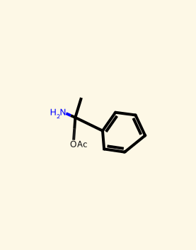 CC(=O)OC(C)(N)c1ccccc1